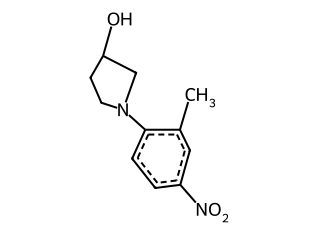 Cc1cc([N+](=O)[O-])ccc1N1CCC(O)C1